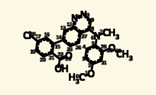 COc1ccc(N(C)c2cnnc3cc(-c4cc(Cl)ccc4C(=O)O)ccc23)c(OC)c1